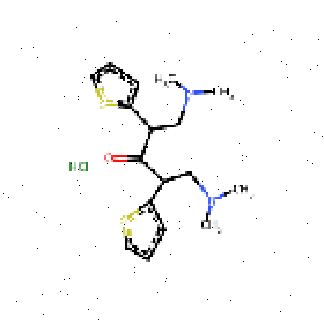 CN(C)CC(C(=O)C(CN(C)C)c1cccs1)c1cccs1.Cl